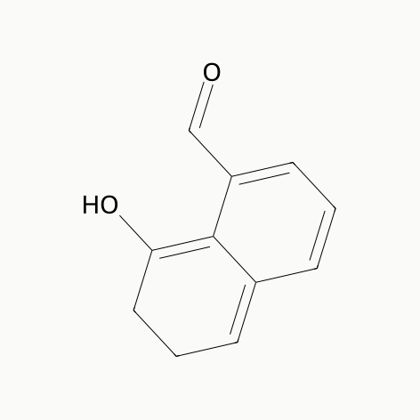 O=Cc1cccc2c1=C(O)CCC=2